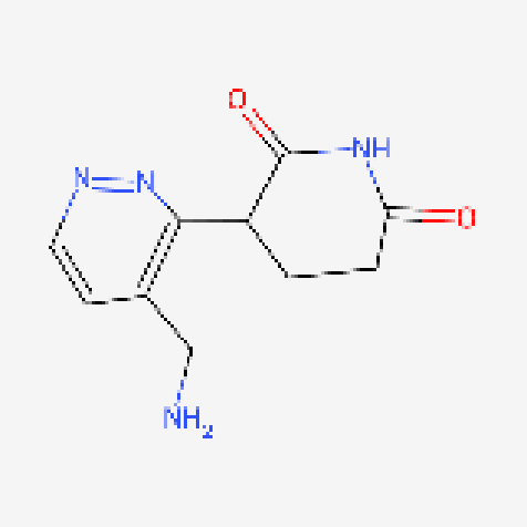 NCc1ccnnc1C1CCC(=O)NC1=O